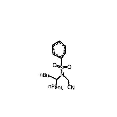 CCCCCC(CCCC)N(CC#N)S(=O)(=O)c1ccccc1